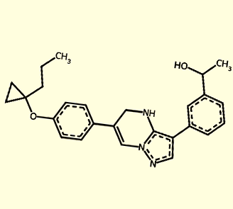 CCCC1(Oc2ccc(C3=Cn4ncc(-c5cccc(C(C)O)c5)c4NC3)cc2)CC1